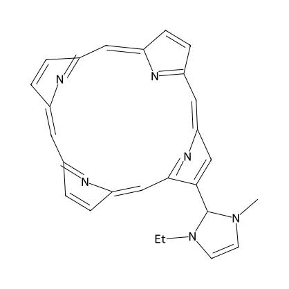 CCN1C=CN(C)C1C1=CC2=CC3=NC(=CC4=NC(=CC5=NC(=CC1=N2)C=C5)C=C4)C=C3